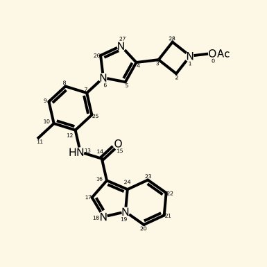 CC(=O)ON1CC(c2cn(-c3ccc(C)c(NC(=O)c4cnn5ccccc45)c3)cn2)C1